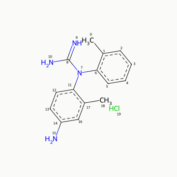 Cc1ccccc1N(C(=N)N)c1ccc(N)cc1C.Cl